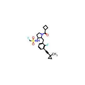 CC1(C#Cc2cccc(CC3C(NS(=O)(=O)CF)CCN3C(=O)C3CCC3)c2F)CC1